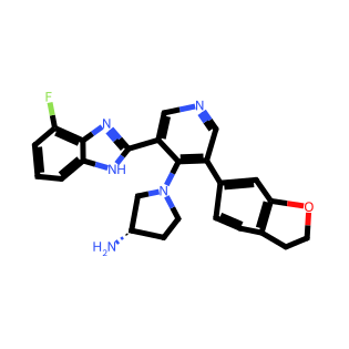 N[C@H]1CCN(c2c(-c3ccc4c(c3)OCC4)cncc2-c2nc3c(F)cccc3[nH]2)C1